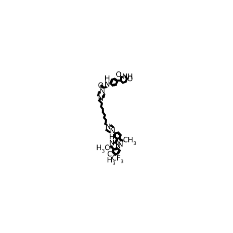 Cc1c([C@@H](C)Nc2nnc(C)c3ccc(N4CCN(CCCCCCCCCN5CCN(C(=O)CNc6ccc(C7CCC(=O)NC7=O)cc6)CC5)CC4)cc23)cccc1C(F)(F)F